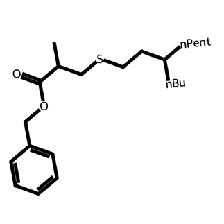 CCCCCC(CCCC)CCSCC(C)C(=O)OCc1ccccc1